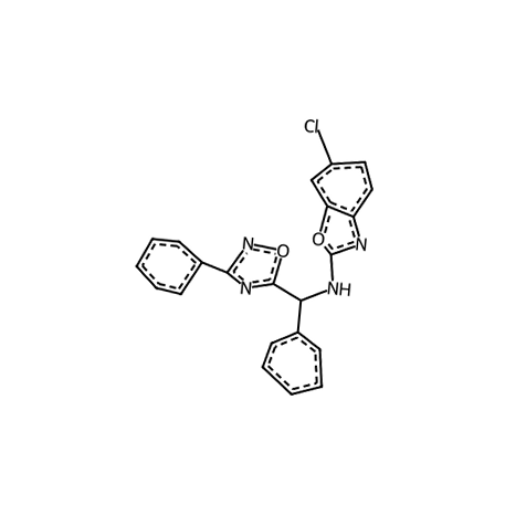 Clc1ccc2nc(NC(c3ccccc3)c3nc(-c4ccccc4)no3)oc2c1